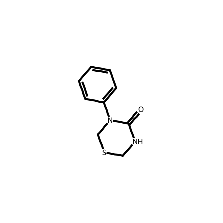 O=C1NCSCN1c1ccccc1